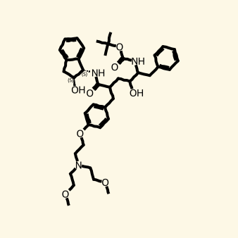 COCCN(CCOC)CCOc1ccc(CC(CC(O)C(Cc2ccccc2)NC(=O)OC(C)(C)C)C(=O)N[C@H]2c3ccccc3C[C@@H]2O)cc1